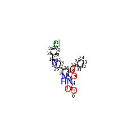 COC(=O)CNC(=O)c1ncc(C2=CCN(Cc3ccc(Cl)cc3)CC2)cc1OCc1ccccc1